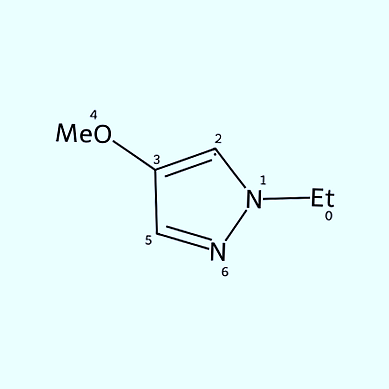 CCn1[c]c(OC)cn1